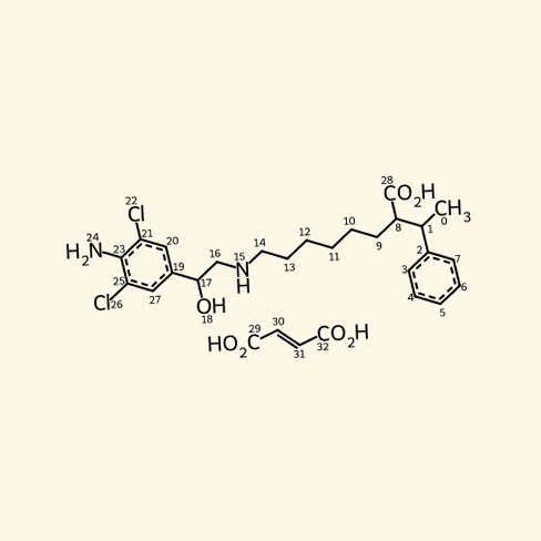 CC(c1ccccc1)C(CCCCCCNCC(O)c1cc(Cl)c(N)c(Cl)c1)C(=O)O.O=C(O)C=CC(=O)O